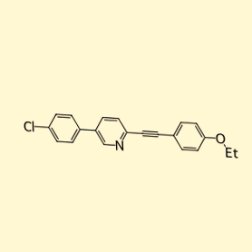 [CH2]COc1ccc(C#Cc2ccc(-c3ccc(Cl)cc3)cn2)cc1